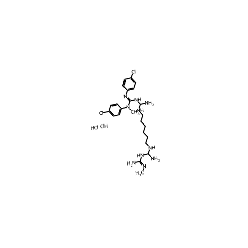 CN=C(N)NC(N)NCCCCCCNC(N)NC(=Nc1ccc(Cl)cc1)N(C)c1ccc(Cl)cc1.Cl.Cl